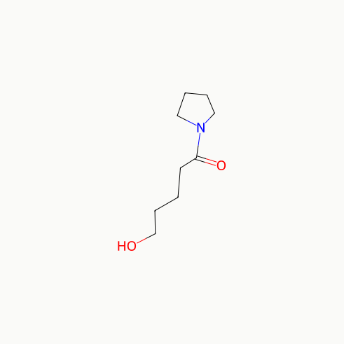 O=C(CCCCO)N1CCCC1